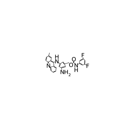 Cc1ccc2nc3ccccc3c(Nc3cc(N)cc(COC(=O)Nc4cc(F)cc(F)c4)c3)c2c1